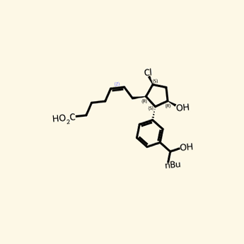 CCCCC(O)c1cccc([C@@H]2[C@@H](C/C=C\CCCC(=O)O)[C@@H](Cl)C[C@H]2O)c1